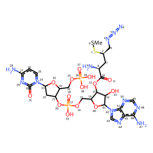 CSS[C@@H](CN=[N+]=[N-])C[C@H](N)C(=O)OC1C(COP(=O)(O)OC2CC(n3ccc(N)nc3=O)OC2COP(=O)(O)O)OC(n2cnc3c(N)ncnc32)C1O